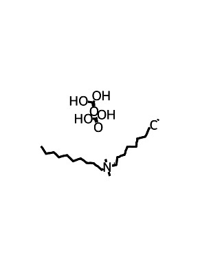 CCCCCCCCCC[N+](C)(C)CCCCCCCCCC.O=C(O)O.O=C(O)O